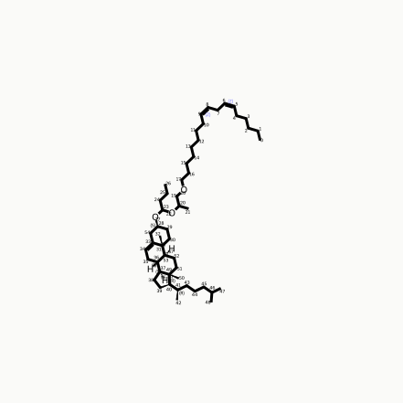 CCCCC/C=C\C/C=C\CCCCCCCCOCC(C)OC(CCC)O[C@H]1CC[C@@]2(C)C(=CC[C@H]3[C@@H]4CC[C@H]([C@H](C)CCCC(C)C)[C@@]4(C)CC[C@@H]32)C1